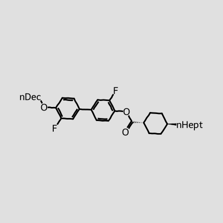 CCCCCCCCCCOc1ccc(-c2ccc(OC(=O)[C@H]3CC[C@H](CCCCCCC)CC3)c(F)c2)cc1F